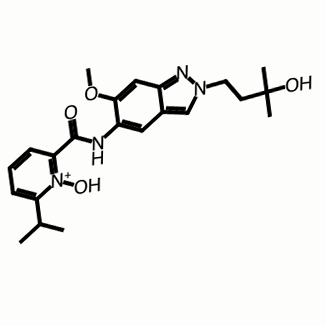 COc1cc2nn(CCC(C)(C)O)cc2cc1NC(=O)c1cccc(C(C)C)[n+]1O